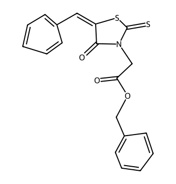 O=C(CN1C(=O)C(=Cc2ccccc2)SC1=S)OCc1ccccc1